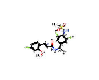 CCC(C)Oc1cc(F)ccc1/C=C/C(=O)N[C@H](CC)c1cc(F)c(NS(C)(=O)=O)c(F)c1